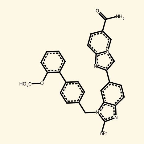 CCCc1nc2ccc(-c3cn4cc(C(N)=O)ccc4n3)cc2n1Cc1ccc(-c2ccccc2OC(=O)O)cc1